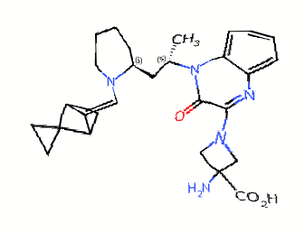 C[C@@H](C[C@@H]1CCCCN1C=C1C2CC1C21CC1)n1c(=O)c(N2CC(N)(C(=O)O)C2)nc2ccccc21